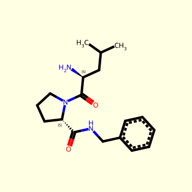 CC(C)C[C@H](N)C(=O)N1CCC[C@H]1C(=O)NCc1ccccc1